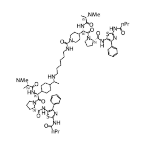 CCCC(=O)Nc1nc(-c2ccccc2)c(NC(=O)[C@@H]2CCCN2C(=O)[C@@H](NC(=O)[C@H](C)NC)C2CCC(C(C)NCCCCCCNC(=O)N3CCC([C@H](NC(=O)[C@H](C)NC)C(=O)N4CCC[C@H]4C(=O)Nc4sc(NC(=O)CCC)nc4-c4ccccc4)CC3)CC2)s1